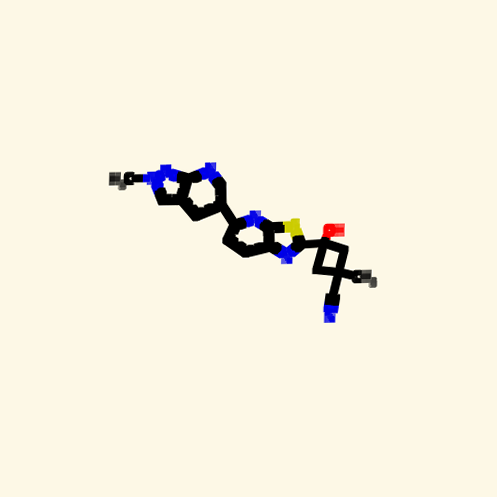 Cn1cc2cc(-c3ccc4nc(C5(O)CC(C)(C#N)C5)sc4n3)cnc2n1